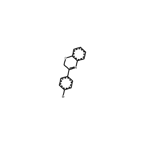 Brc1ccc(C2=Nc3ccccc3OC2)cc1